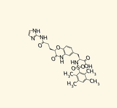 Cc1cc(C)c(C)c(S(=O)(=O)N[C@@H](Cc2ccc3c(c2)NC(=O)[C@@H](CCC(=O)Nc2ncc[nH]2)O3)C(=O)O)c1C